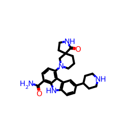 NC(=O)c1ccc(N2CCCC3(CCNC3=O)C2)c2c1[nH]c1ccc(C3CCNCC3)cc12